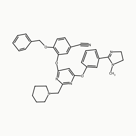 CN1CCN=C1c1cccc(Oc2cc(Oc3cc(C#N)ccc3OCc3ccccc3)nc(CN3CCCCC3)n2)c1